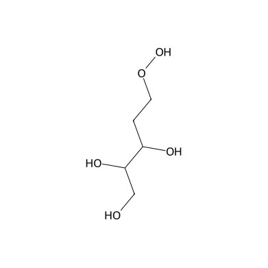 OCC(O)C(O)CCOO